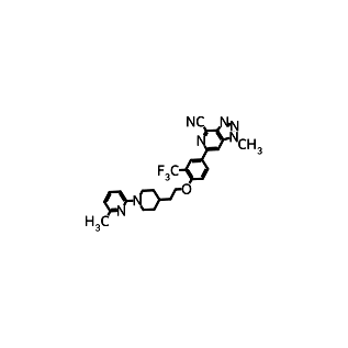 Cc1cccc(N2CCC(CCOc3ccc(-c4cc5c(nnn5C)c(C#N)n4)cc3C(F)(F)F)CC2)n1